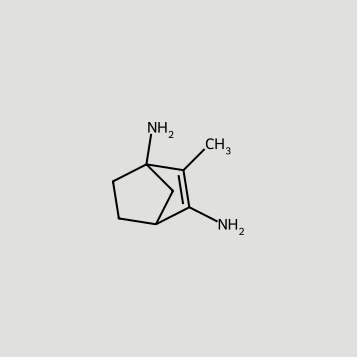 CC1=C(N)C2CCC1(N)C2